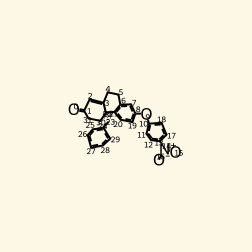 O=C1C=C2CCc3cc(Oc4ccc([N+](=O)[O-])cc4)ccc3[C@@]2(Cc2ccccc2)CC1